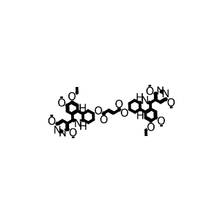 CCOc1cc2c(cc1OC)C(c1cc(OC)nnc1OC)=N[C@@H]1CC[C@@H](OC(=O)/C=C/C(=O)O[C@@H]3CC[C@H]4N=C(c5cc(OC)nnc5OC)c5cc(OC)c(OCC)cc5[C@H]4C3)C[C@H]21